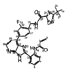 C=CC(=O)Nc1ccccc1-c1nc2c(-c3ccc(CNC(=O)c4nc(C(C)(C)C)no4)c(F)c3)ccnc2[nH]1